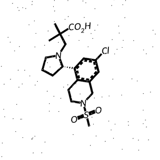 CC(C)(CN1CCC[C@H]1c1cc(Cl)cc2c1CCN(S(C)(=O)=O)C2)C(=O)O